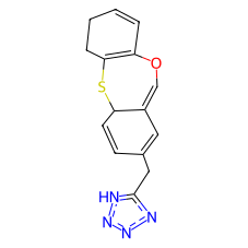 C1=CC2=C(CC1)SC1C=CC(Cc3nnn[nH]3)=CC1=CO2